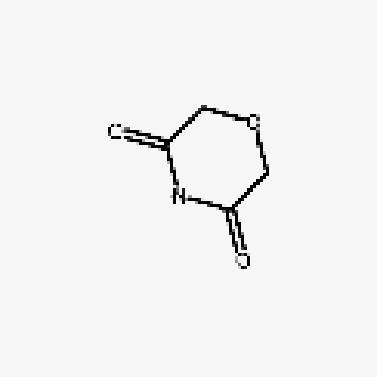 O=C1COCC(=O)[N]1